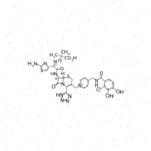 CC(C)(O/N=C(\C(=O)N[C@@H]1C(=O)N2C(c3nnn[nH]3)=C(C[n+]3ccc(CNC(=O)c4ccc(O)c(O)c4Cl)cc3)CS[C@H]12)c1csc(N)n1)C(=O)O